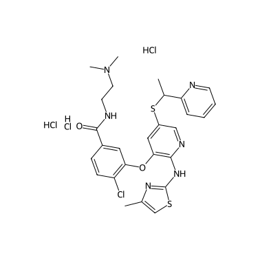 Cc1csc(Nc2ncc(SC(C)c3ccccn3)cc2Oc2cc(C(=O)NCCN(C)C)ccc2Cl)n1.Cl.Cl.Cl